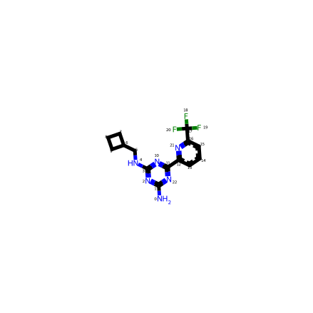 Nc1nc(NCC2CCC2)nc(-c2cccc(C(F)(F)F)n2)n1